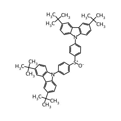 CC(C)(C)c1ccc2c(c1)c1cc(C(C)(C)C)ccc1n2-c1ccc([S+]([O-])c2ccc(-n3c4ccc(C(C)(C)C)cc4c4cc(C(C)(C)C)ccc43)cc2)cc1